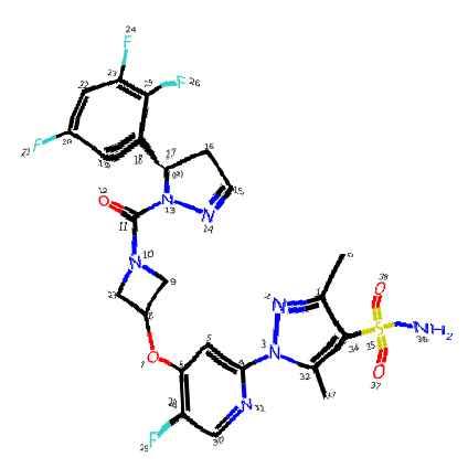 Cc1nn(-c2cc(OC3CN(C(=O)N4N=CC[C@@H]4c4cc(F)cc(F)c4F)C3)c(F)cn2)c(C)c1S(N)(=O)=O